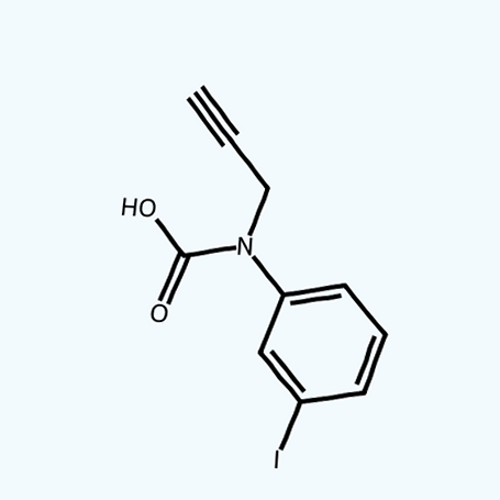 C#CCN(C(=O)O)c1cccc(I)c1